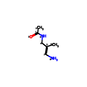 CC(=O)NC/C(C)=C/N